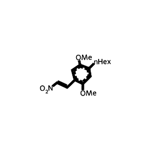 CCCCCCc1cc(OC)c(C=C[N+](=O)[O-])cc1OC